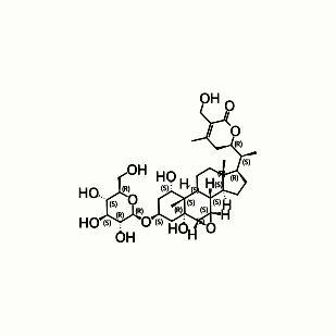 CC1=C(CO)C(=O)O[C@@H]([C@@H](C)[C@H]2CC[C@H]3[C@@H]4[C@@H]5O[C@@H]5[C@@]5(O)C[C@@H](O[C@@H]6O[C@H](CO)[C@@H](O)[C@H](O)[C@H]6O)C[C@H](O)[C@]5(C)[C@H]4CC[C@]23C)C1